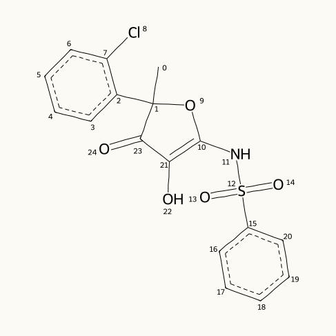 CC1(c2ccccc2Cl)OC(NS(=O)(=O)c2ccccc2)=C(O)C1=O